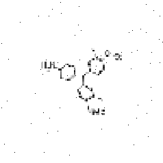 CCOc1ccc(C(c2ccc(N)cc2)c2ccc(NC)c(C)c2)cc1C